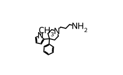 Cn1cccc1C1(c2ccccc2)CCN(CCCN)CC1